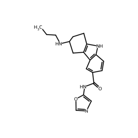 CCCNC1CCc2[nH]c3ccc(C(=O)Nc4cnco4)cc3c2C1